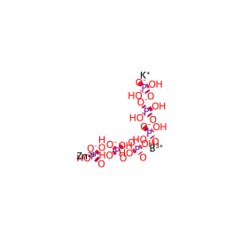 O=P([O-])(O)O.O=P([O-])(O)O.O=P([O-])(O)O.O=P([O-])(O)O.O=P([O-])(O)O.O=P([O-])(O)O.[B+3].[K+].[Zn+2]